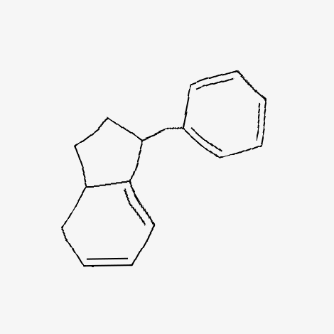 C1=CCC2CCC(c3ccccc3)C2=C1